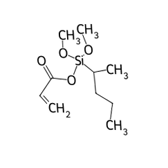 C=CC(=O)O[Si](OC)(OC)C(C)CCC